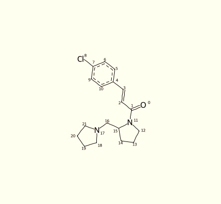 O=C(C=Cc1ccc(Cl)cc1)N1CCCC1CN1CCCC1